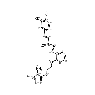 Cc1nnc(SCCOc2ccccc2C=CC(=O)C=Cc2ccc(Cl)c(Cl)c2)n1N